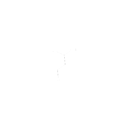 OC(Cl)CCBr